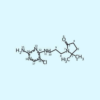 CC1(C)CCC(=O)N1CCCNc1nc(N)ncc1Cl